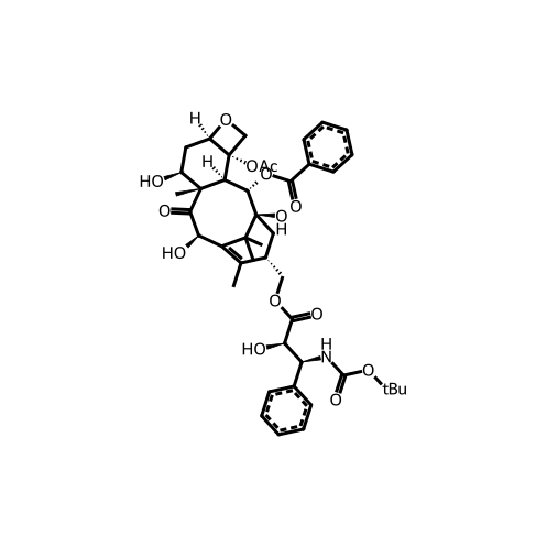 CC(=O)O[C@@]12CO[C@@H]1C[C@H](O)[C@@]1(C)C(=O)[C@H](O)C3=C(C)[C@@H](COC(=O)[C@H](O)[C@@H](NC(=O)OC(C)(C)C)c4ccccc4)C[C@@](O)([C@@H](OC(=O)c4ccccc4)[C@H]21)C3(C)C